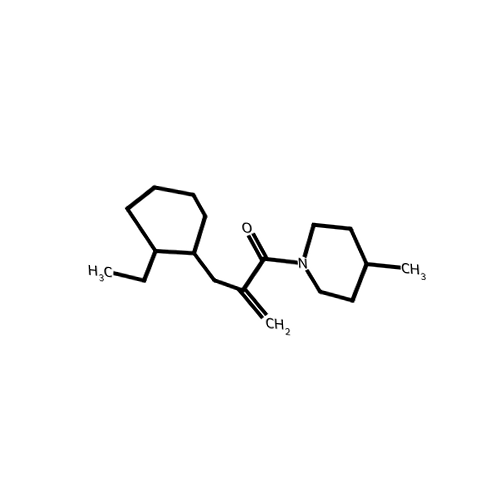 C=C(CC1CCCCC1CC)C(=O)N1CCC(C)CC1